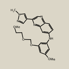 COCCOCOc1cc(Nc2ccc3ncc(-c4cnn(C)c4)nc3c2)cc(OC)c1